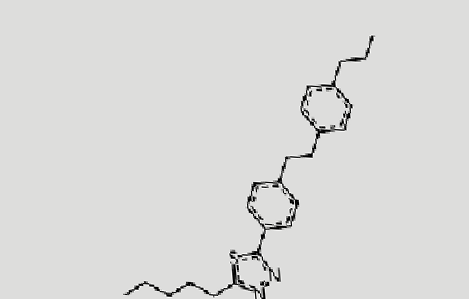 CCCCCc1nnc(-c2ccc(CCc3ccc(CCC)cc3)cc2)s1